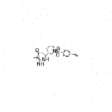 C#Cc1ccc(S(=O)(=O)N2CCCC([C@]3(C)CC(=O)N(C)C(=N)N3)C2)cc1